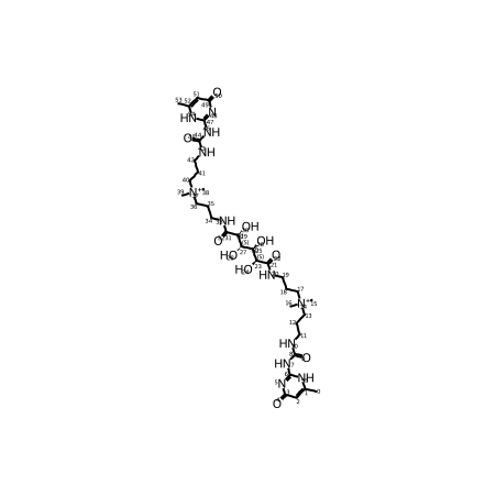 Cc1cc(=O)nc(NC(=O)NCCC[N+](C)(C)CCCNC(=O)[C@@H](O)[C@H](O)[C@H](O)[C@@H](O)C(=O)NCCC[N+](C)(C)CCCNC(=O)Nc2nc(=O)cc(C)[nH]2)[nH]1